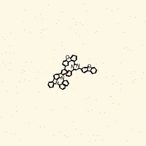 c1ccc(-c2cc(-c3ccc4c(c3)oc3ccccc34)nc(-c3cccc4oc5ccc(-c6ccc7c(c6)c6ccc8c9ccccc9n(-c9ccccc9)c8c6n7-c6ccccc6)cc5c34)n2)cc1